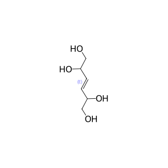 OCC(O)/C=C/C(O)CO